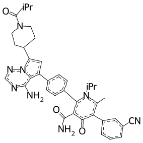 Cc1c(-c2cccc(C#N)c2)c(=O)c(C(N)=O)c(-c2ccc(-c3cc(C4CCN(C(=O)C(C)C)CC4)n4ncnc(N)c34)cc2)n1C(C)C